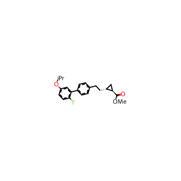 COC(=O)[C@@H]1C[C@H]1CCc1ccc(-c2cc(OC(C)C)ccc2F)cc1